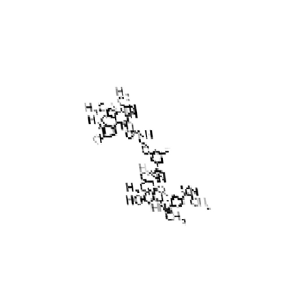 Cc1ncsc1-c1ccc([C@H](C)NC(=O)[C@@H]2C[C@@H](O)CN2C(=O)C(C(C)C)n2cc(-c3cc(F)cc(OCCNC(=O)C[C@@H]4N=C(c5ccc(Cl)cc5)c5c(sc(C)c5C)-n5c(C)nnc54)c3)cn2)cc1